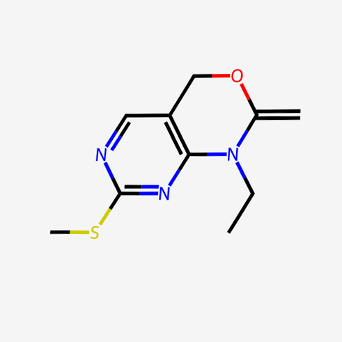 C=C1OCc2cnc(SC)nc2N1CC